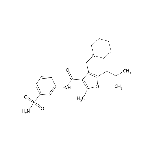 Cc1oc(CC(C)C)c(CN2CCCCC2)c1C(=O)Nc1cccc(S(N)(=O)=O)c1